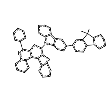 CC1(C)c2ccccc2-c2ccc(-c3ccc4c(c3)c3ccccc3n4-c3cc4c(-c5ccccc5)nc5ccccc5c4c4c3sc3ccccc34)cc21